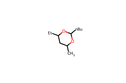 CCCCC1OC(C)CC(CC)O1